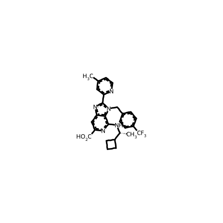 Cc1ccnc(-c2nc3cc(C(=O)O)nc(N[C@H](C)C4CCC4)c3n2Cc2ccc(C(F)(F)F)cc2)c1